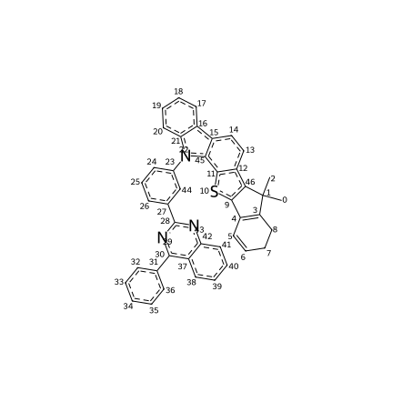 CC1(C)C2=C(C=CCC2)c2sc3c(ccc4c5ccccc5n(-c5cccc(-c6nc(-c7ccccc7)c7ccccc7n6)c5)c43)c21